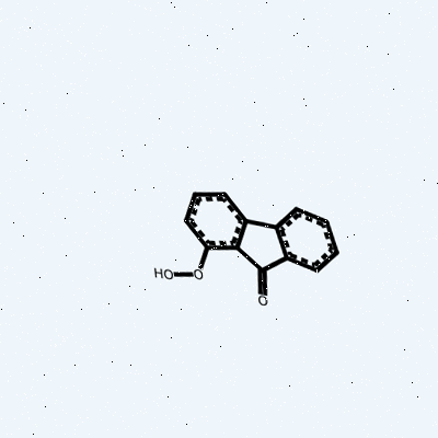 O=C1c2ccccc2-c2cccc(OO)c21